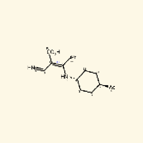 CC(=O)[C@H]1CC[C@H](N/C(=C(\C=N)C(=O)O)C(C)C)CC1